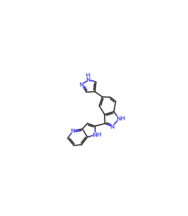 c1cnc2cc(-c3n[nH]c4ccc(-c5cn[nH]c5)cc34)[nH]c2c1